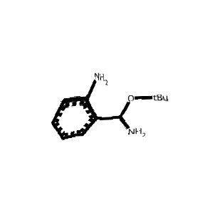 CC(C)(C)OC(N)c1ccc[c]c1N